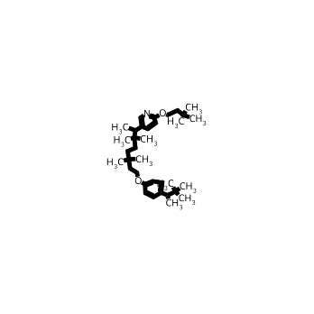 CC(c1ccc(OCCC(C)(C)CCC(C)(C)C(C)c2ccc(OCCC(C)(C)C)nc2)cc1)C(C)(C)C